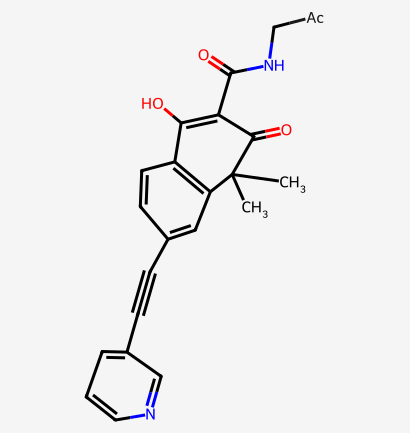 CC(=O)CNC(=O)C1=C(O)c2ccc(C#Cc3cccnc3)cc2C(C)(C)C1=O